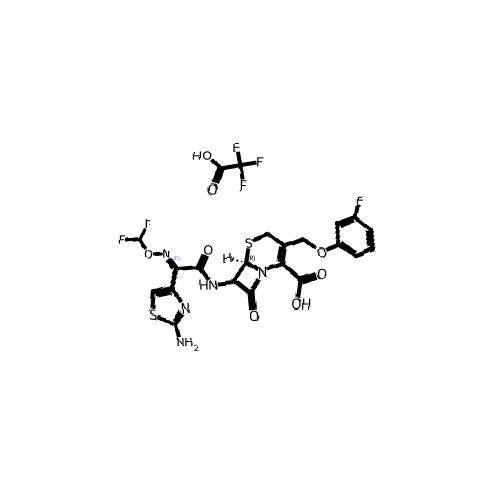 Nc1nc(/C(=N\OC(F)F)C(=O)NC2C(=O)N3C(C(=O)O)=C(COc4cccc(F)c4)CS[C@H]23)cs1.O=C(O)C(F)(F)F